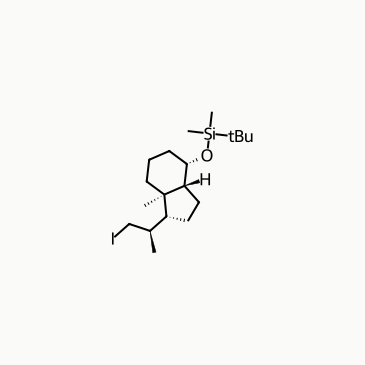 C[C@@H](CI)[C@H]1CC[C@H]2[C@@H](O[Si](C)(C)C(C)(C)C)CCC[C@]12C